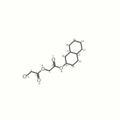 O=C(CCl)OCC(=O)OC1CCC2CCCCC2C1